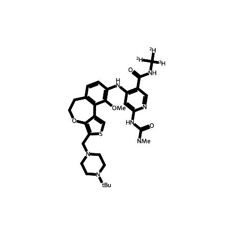 [2H]C([2H])([2H])NC(=O)c1cnc(NC(=O)NC)cc1Nc1ccc2c(c1OC)-c1csc(CN3CCN(C(C)(C)C)CC3)c1OCC2